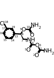 NC(=O)OC(=O)NC[C@H](OC(N)=O)c1cccc(Cl)c1